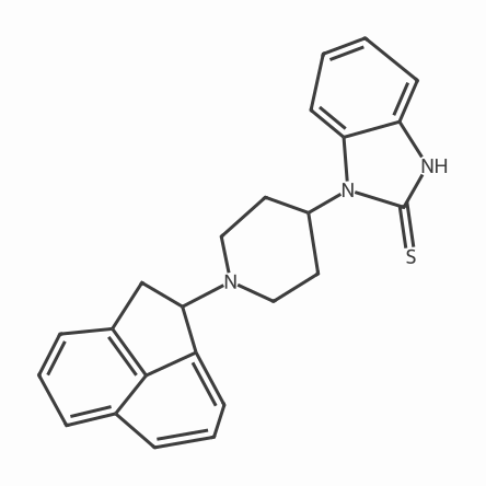 S=c1[nH]c2ccccc2n1C1CCN(C2Cc3cccc4cccc2c34)CC1